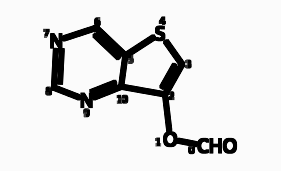 O=COc1csc2cncnc12